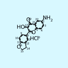 Cl.Nc1ccc2oc(-c3ccc4c(c3)CCO4)c(O)c(=O)c2c1